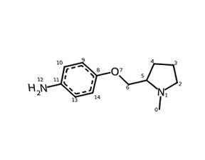 CN1CCCC1COc1ccc(N)cc1